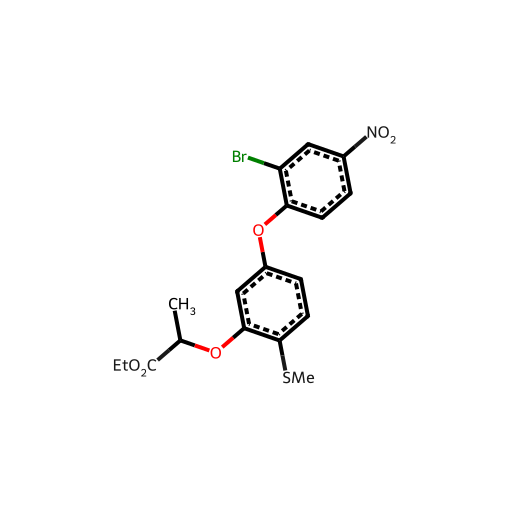 CCOC(=O)C(C)Oc1cc(Oc2ccc([N+](=O)[O-])cc2Br)ccc1SC